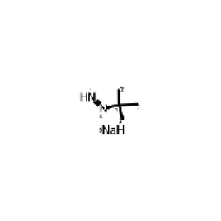 CC(C)(C)N=N.[NaH]